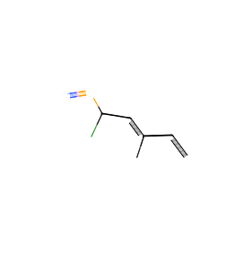 C=C/C(=C/C(Cl)P=N)C(C)C